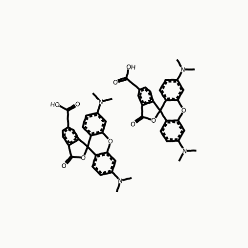 CN(C)c1ccc2c(c1)Oc1cc(N(C)C)ccc1C21OC(=O)c2cc(C(=O)O)ccc21.CN(C)c1ccc2c(c1)Oc1cc(N(C)C)ccc1C21OC(=O)c2ccc(C(=O)O)cc21